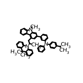 CC(C)c1ccc(N(c2ccccc2)c2cccc(-c3cc(CC(C)N4c5ccccc5C(C)(C)c5ccccc54)c4c5ccccc5n(C)c4c3)c2)cc1